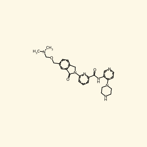 CN(C)COCc1ccc2c(c1)C(=O)N(c1cccc(C(=O)Nc3cnccc3N3CCNCC3)n1)C2